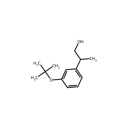 C[C](CO)c1cccc(OC(C)(C)C)c1